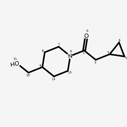 O=C(CC1CC1)N1CCC(CO)CC1